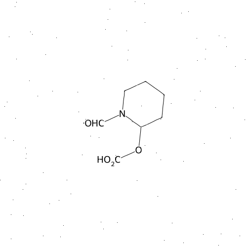 O=[C]N1CCCCC1OC(=O)O